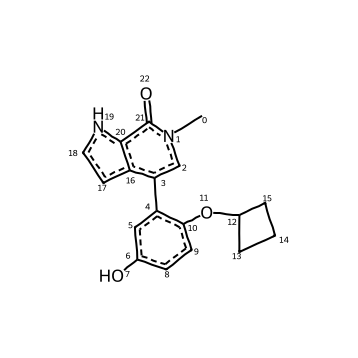 Cn1cc(-c2cc(O)ccc2OC2CCC2)c2cc[nH]c2c1=O